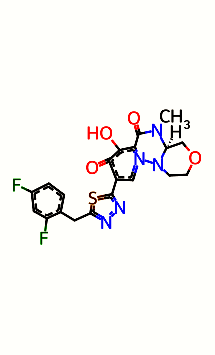 CN1C(=O)c2c(O)c(=O)c(-c3nnc(Cc4ccc(F)cc4F)s3)cn2N2CCOC[C@H]12